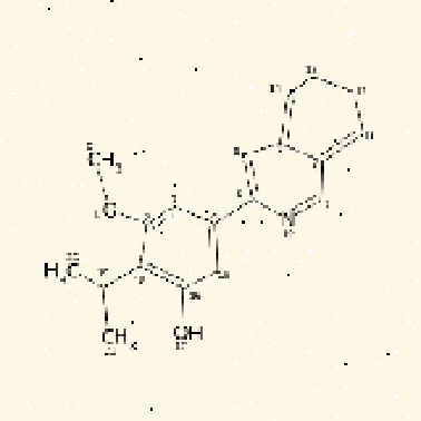 COc1cc(-c2cc3c(cn2)=CCCC=3)cc(O)c1C(C)C